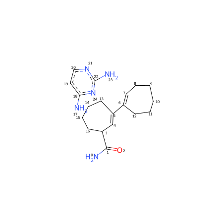 NC(=O)C1C=C(C2=CCCCCC2)CCCC1.Nc1ccnc(N)n1